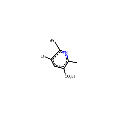 CCOC(=O)c1cc(CC)c(C(C)C)nc1C